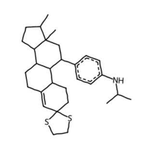 CC(C)Nc1ccc(C2CC3(C)C(C)CCC3C3CCC4=CC5(CCC4C23)SCCS5)cc1